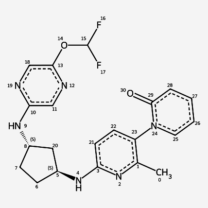 Cc1nc(N[C@H]2CC[C@H](Nc3cnc(OC(F)F)cn3)C2)ccc1-n1ccccc1=O